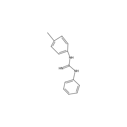 Cc1ccc(NC(=N)Nc2ccccc2)cc1